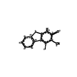 Cc1c2c([nH]c(=O)c1C#N)Cc1cnccc1-2